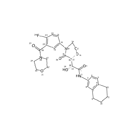 O=C(Nc1ccc2c(c1)CCCC2)[C@H](O)[C@H]1OCCN(c2ccc(F)c(C(=O)N3CCOCC3)c2)C1=O